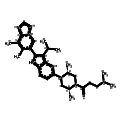 Cc1c(-c2[nH]c3ccc(N4C[C@@H](C)N(C(=O)CCN(C)C)C[C@H]4C)nc3c2C(C)C)cn2ncnc2c1C